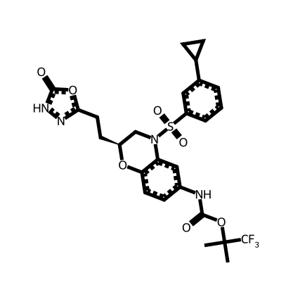 CC(C)(OC(=O)Nc1ccc2c(c1)N(S(=O)(=O)c1cccc(C3CC3)c1)C[C@H](CCc1n[nH]c(=O)o1)O2)C(F)(F)F